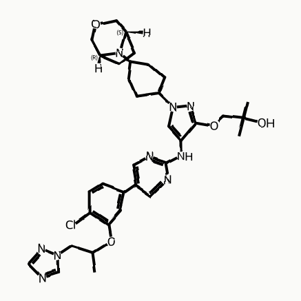 CC(Cn1cncn1)Oc1cc(-c2cnc(Nc3cn(C4CCC(N5[C@@H]6CC[C@H]5COC6)CC4)nc3OCC(C)(C)O)nc2)ccc1Cl